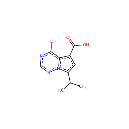 CC(C)c1cc(C(=O)O)c2c(O)ncnn12